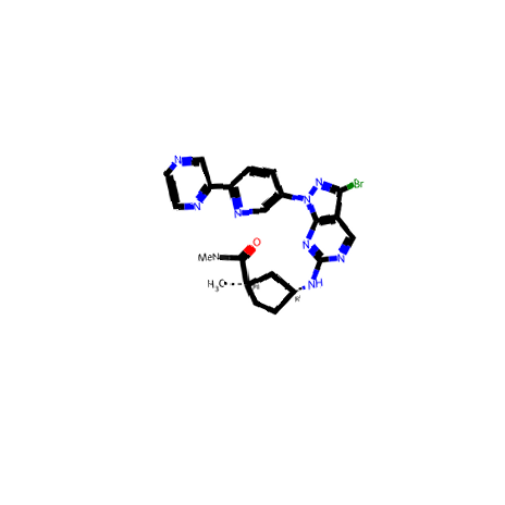 CNC(=O)[C@]1(C)CC[C@@H](Nc2ncc3c(Br)nn(-c4ccc(-c5cnccn5)nc4)c3n2)C1